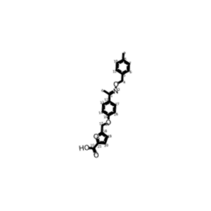 C/C(=N\OCc1ccc(C)cc1)c1ccc(OCc2ccc(C(=O)O)o2)cc1